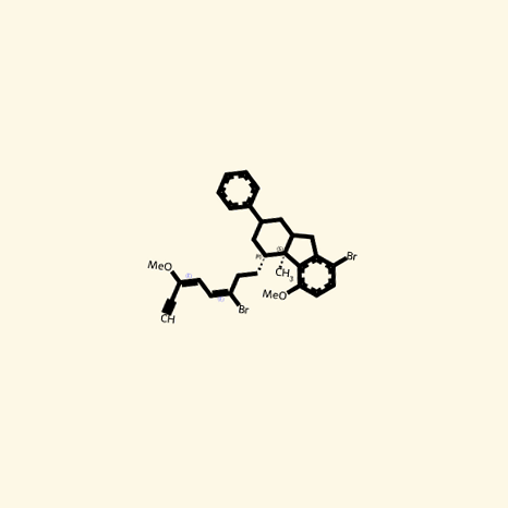 C#C/C(=C\C=C(\Br)CC[C@@H]1CC(c2ccccc2)CC2Cc3c(Br)ccc(OC)c3[C@]21C)OC